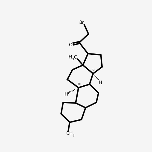 CC1CCC2C(CCC3[C@@H]2CCC2(C)C(C(=O)CBr)CC[C@@H]32)C1